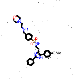 COc1ccc(-c2[nH]c(-c3ccccc3)nc2CCNS(=O)(=O)c2ccc(CNCCN3CCOCC3)cc2)cc1